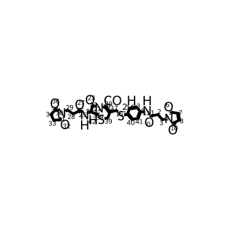 O=C(CCN1C(=O)C=CC1=O)Nc1ccc(SCC2=C(C(=O)O)N3C(=O)C(NC(=O)CCN4C(=O)CCC4=O)[C@H]3SC2)cc1